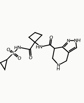 O=C(NC1(C(=O)NS(=O)(=O)C2CC2)CCC1)C1CNCc2c[nH]nc21